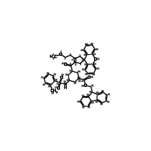 COCCCCC1(CNC(=O)C2CC(NS(=O)(=O)c3ccccc3C)CN(C(=O)OCC3c4ccccc4-c4ccccc43)C2)c2ccccc2Oc2ccccc21